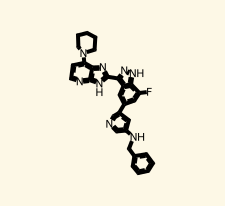 Fc1cc(-c2cncc(NCc3ccccc3)c2)cc2c(-c3nc4c(N5CCCCC5)ccnc4[nH]3)n[nH]c12